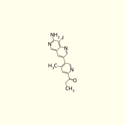 CCC(=O)c1cc(C)c(-c2cnc3c(I)c(N)ncc3c2)cn1